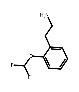 NCCc1ccccc1OC(F)F